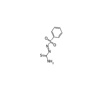 NC(=S)N=NS(=O)(=O)c1ccccc1